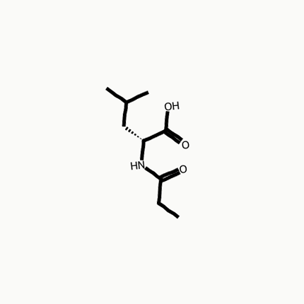 CCC(=O)N[C@H](CC(C)C)C(=O)O